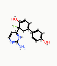 Nc1nccc(C2(F)CC(c3ccc(O)cc3)=CC=C2O)n1